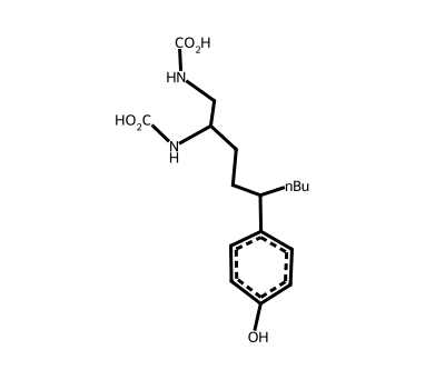 CCCCC(CCC(CNC(=O)O)NC(=O)O)c1ccc(O)cc1